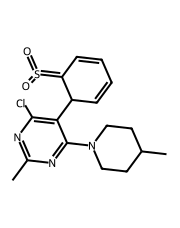 Cc1nc(Cl)c(C2C=CC=CC2=S(=O)=O)c(N2CCC(C)CC2)n1